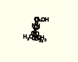 CC1(C)OB(c2cnc(N3CCC[C@@H]3CO)nc2)OC1(C)C